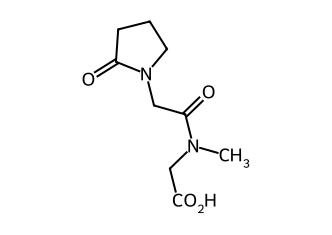 CN(CC(=O)O)C(=O)CN1CCCC1=O